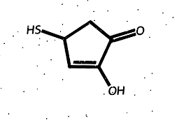 O=C1CC(S)C=C1O